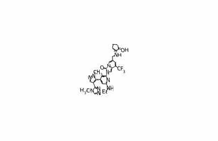 CCNc1cc(-c2c(-c3nncn3C)cnn2C)cc(-n2cc3c(C(F)(F)F)cc(CN[C@@H]4CCC[C@@H]4O)cn3c2=O)n1